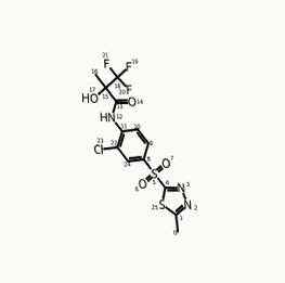 Cc1nnc(S(=O)(=O)c2ccc(NC(=O)C(C)(O)C(F)(F)F)c(Cl)c2)s1